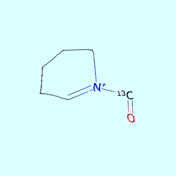 O=[13CH][N+]1=CCCCC1